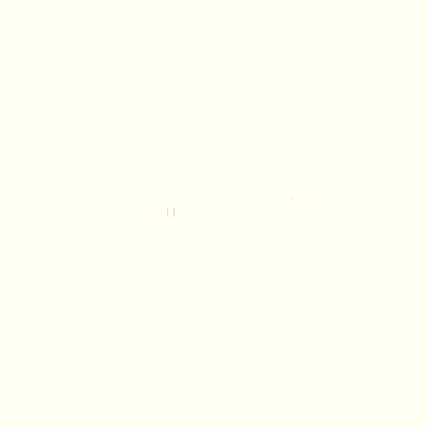 Cc1ccsc1C(O)C#CC1(O)CCCCC1